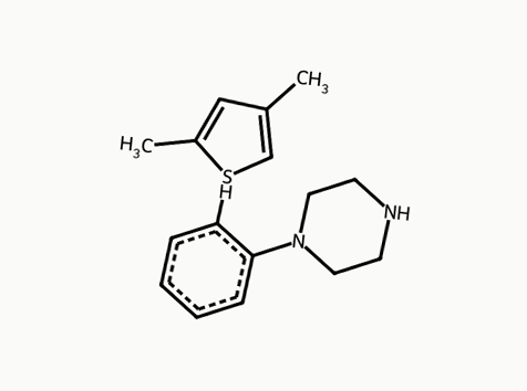 CC1=C[SH](c2ccccc2N2CCNCC2)C(C)=C1